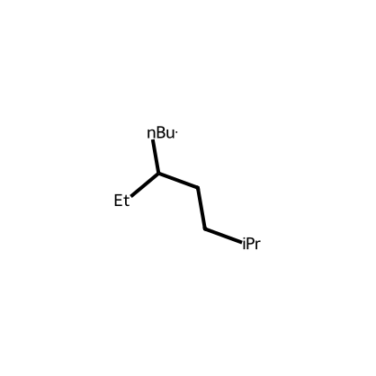 CCC[CH]C(CC)CCC(C)C